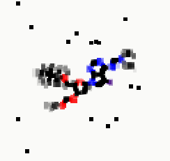 COCOC1C[C@H](n2cc(I)c3c(/N=C/N(C)C)ncnc32)O[C@@H]1CO[Si](C)(C)C(C)(C)C